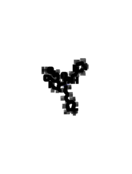 Cc1cnc2c(=O)n(O)ccc2c1/C(=C\CCCc1ccc(F)cc1)C(=O)NCCc1cnccn1